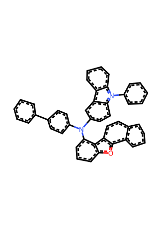 c1ccc(-c2ccc(N(c3ccc4c(c3)c3ccccc3n4-c3ccccc3)c3cccc4oc5c6ccccc6ccc5c34)cc2)cc1